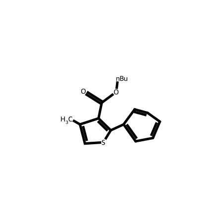 CCCCOC(=O)c1c(C)csc1-c1ccccc1